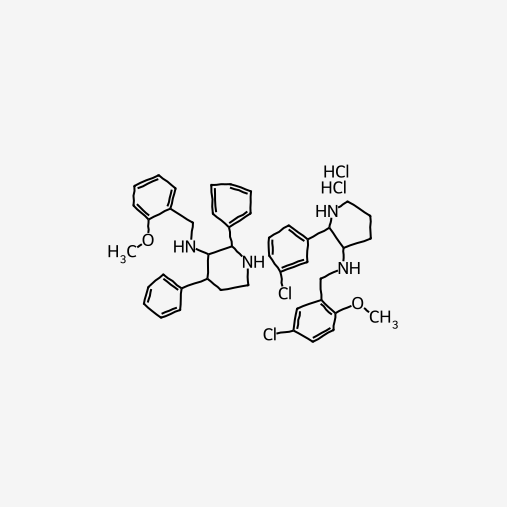 COc1ccc(Cl)cc1CNC1CCCNC1c1cccc(Cl)c1.COc1ccccc1CNC1C(c2ccccc2)CCNC1c1ccccc1.Cl.Cl